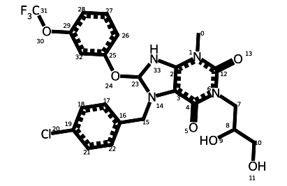 Cn1c2c(c(=O)n(CC(O)CO)c1=O)N(Cc1ccc(Cl)cc1)C(Oc1cccc(OC(F)(F)F)c1)N2